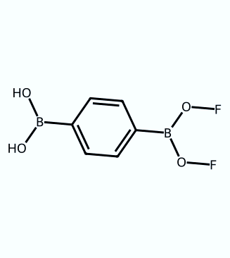 OB(O)c1ccc(B(OF)OF)cc1